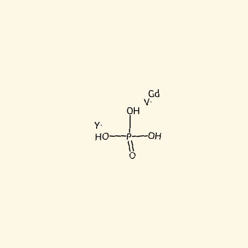 O=P(O)(O)O.[Gd].[V].[Y]